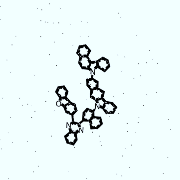 c1ccc2c(c1)ccc1c2c2ccccc2n1-c1ccc2cc3c(cc2c1)c1ccccc1n3-c1ccc(-c2nc3ccccc3nc2-c2ccc3c(c2)oc2ccccc23)c2ccccc12